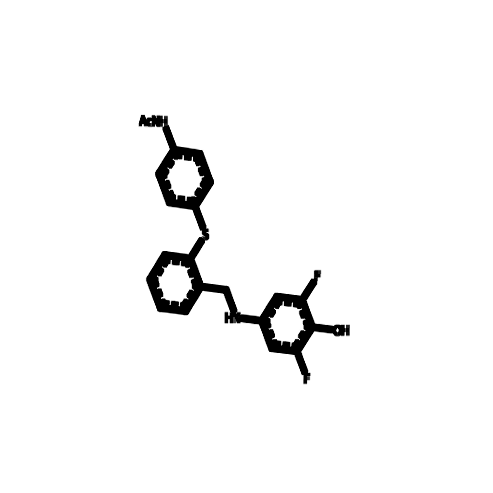 CC(=O)Nc1ccc(Sc2ccccc2CNc2cc(F)c(O)c(F)c2)cc1